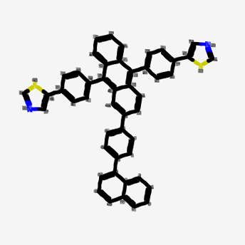 c1ccc2c(-c3ccc(-c4ccc5c(-c6ccc(-c7cncs7)cc6)c6ccccc6c(-c6ccc(-c7cncs7)cc6)c5c4)cc3)cccc2c1